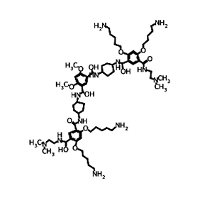 COc1cc(OC)c(C(O)NC2CCC(NC(O)c3cc(C(=O)NCCN(C)C)c(OCCCCCN)cc3OCCCCCN)CC2)cc1C(O)NC1CCC(NC(=O)c2cc(C(O)NCCN(C)C)c(OCCCCCN)cc2OCCCCCN)CC1